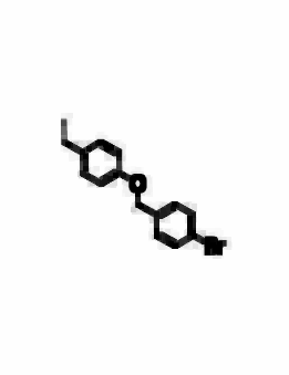 CCc1ccc(OCc2ccc(Br)cc2)cc1